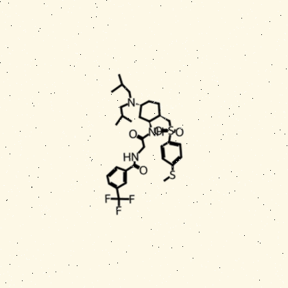 CSc1ccc(S(=O)(=O)C[C@@H]2CC[C@@H](N(CC(C)C)CC(C)C)C[C@@H]2NC(=O)CNC(=O)c2cccc(C(F)(F)F)c2)cc1